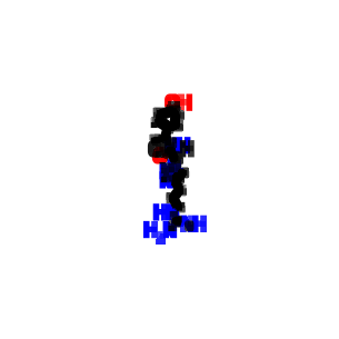 N=C(N)NCCCc1cn(CC(=O)N[C@@H](CC(=O)O)c2ccc(O)cc2)nn1